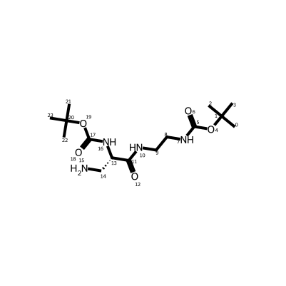 CC(C)(C)OC(=O)NCCNC(=O)[C@H](CN)NC(=O)OC(C)(C)C